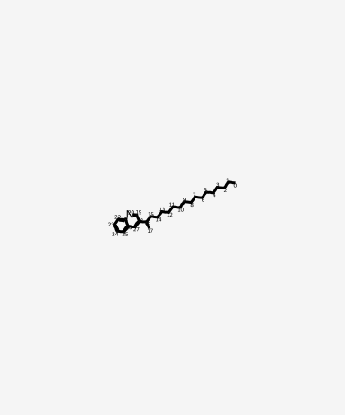 CCCCCCCCCCCCCCCCC(C)c1cnc2ccccc2c1